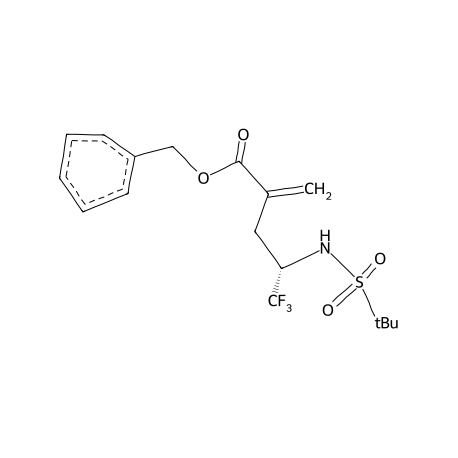 C=C(C[C@H](NS(=O)(=O)C(C)(C)C)C(F)(F)F)C(=O)OCc1ccccc1